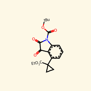 CCOC(=O)C1(c2cccc3c2C(=O)C(=O)N3C(=O)OC(C)(C)C)CC1